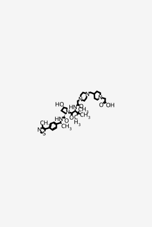 Cc1ncsc1-c1ccc([C@H](C)NC(=O)[C@@H]2C[C@@H](O)CN2C(=O)[C@@H](NC(=O)CN2CCN(CC3CCN(CC(=O)O)CC3)CC2)C(C)(C)C)cc1